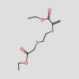 C=C(SCCSCC(=O)OCC)C(=O)OCC